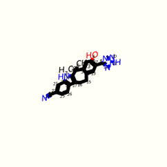 CC1(C)c2cc(O)c(-c3nn[nH]n3)cc2CCc2c1[nH]c1cc(C#N)ccc21